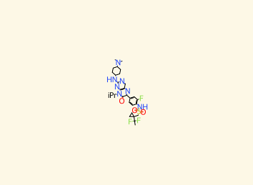 CC(C)n1c(=O)c(-c2ccc(NS(=O)(=O)CC3(C(C)(F)F)CC3)c(F)c2)nc2cnc(N[C@H]3CC[C@H](N(C)C)CC3)nc21